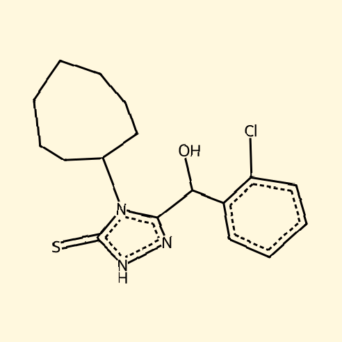 OC(c1ccccc1Cl)c1n[nH]c(=S)n1C1CCCCCCC1